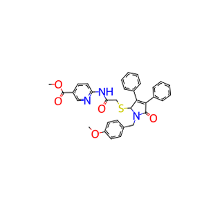 COC(=O)c1ccc(NC(=O)CSC2C(c3ccccc3)=C(c3ccccc3)C(=O)N2Cc2ccc(OC)cc2)nc1